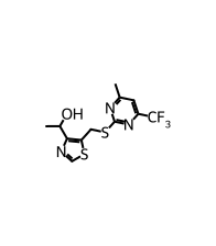 Cc1cc(C(F)(F)F)nc(SCc2scnc2C(C)O)n1